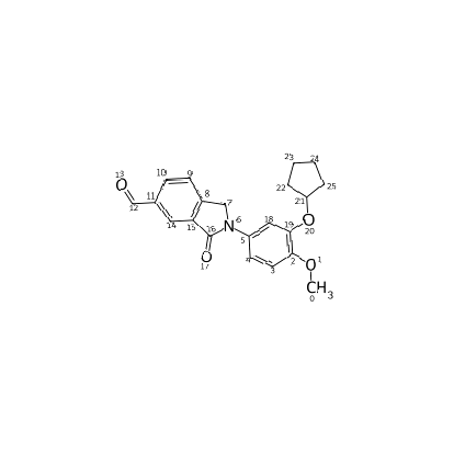 COc1ccc(N2Cc3ccc(C=O)cc3C2=O)cc1OC1CCCC1